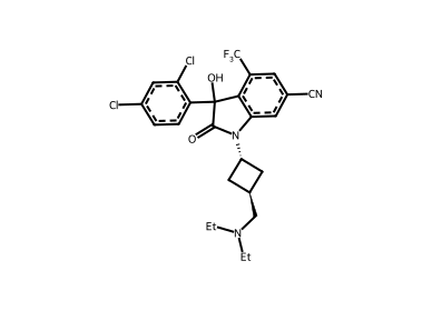 CCN(CC)C[C@H]1C[C@H](N2C(=O)C(O)(c3ccc(Cl)cc3Cl)c3c2cc(C#N)cc3C(F)(F)F)C1